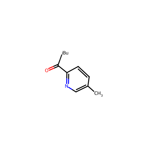 CCC(C)C(=O)c1ccc(C)cn1